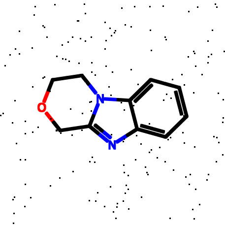 [CH]1OCCn2c1nc1ccccc12